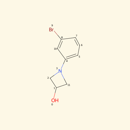 OC1CN(c2cccc(Br)c2)C1